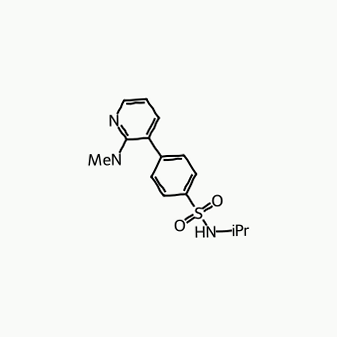 CNc1ncccc1-c1ccc(S(=O)(=O)NC(C)C)cc1